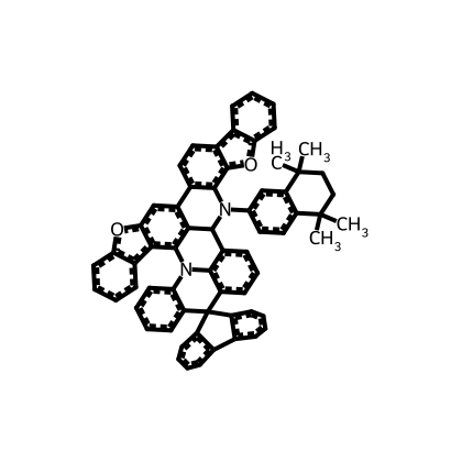 CC1(C)CCC(C)(C)c2cc(N3c4c(ccc5c4oc4ccccc45)-c4cc5oc6ccccc6c5c5c4C3c3cccc4c3N5c3ccccc3C43c4ccccc4-c4ccccc43)ccc21